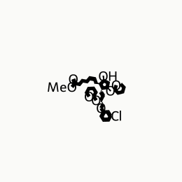 COC(=O)CCC/C=C\C[C@@H]1[C@@H](/C=C/[C@H](COc2cccc(Cl)c2)OC2CCCCO2)[C@H](OC2CCCCO2)C[C@@H]1O